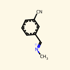 C/N=C/c1cccc(C#N)c1